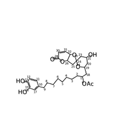 CC(=O)OC(CCCCCCCCc1ccc(O)c(O)c1)CC1CC(O)CC2(CC3OC(=O)C=CC3O2)O1